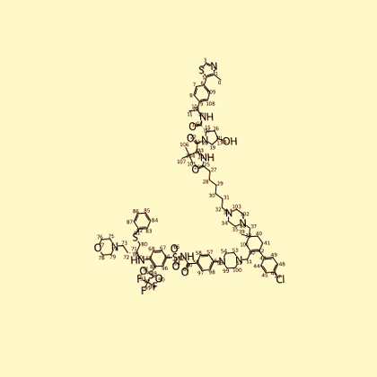 Cc1ncsc1-c1ccc([C@H](C)NC(=O)[C@@H]2C[C@@H](O)CN2C(=O)[C@@H](NC(=O)CCCCCCN2CCN(CC3(C)CCC(c4ccc(Cl)cc4)=C(CN4CCN(c5ccc(C(=O)NS(=O)(=O)c6ccc(N[C@H](CCN7CCOCC7)CSc7ccccc7)c(S(=O)(=O)C(F)(F)F)c6)cc5)CC4)C3)CC2)C(C)(C)C)cc1